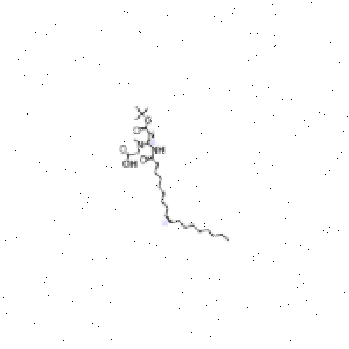 CCCCCCCC/C=C\CCCCCCCC(=O)N/C(=N/C(=O)OC(C)(C)C)N(C)CC(=O)O